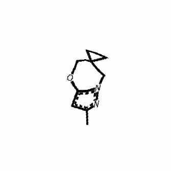 Cc1cc2n(n1)CC1(CC1)CO2